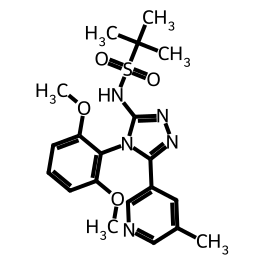 COc1cccc(OC)c1-n1c(NS(=O)(=O)C(C)(C)C)nnc1-c1cncc(C)c1